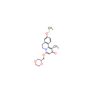 CSOc1ccc2c(c1)CCn1c(OC[C@@H]3COCCO3)cc(=O)c(C)c1-2